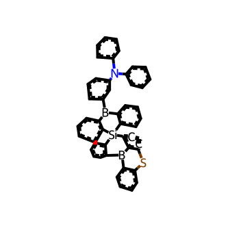 c1ccc(N(c2ccccc2)c2cccc(B3c4ccccc4[Si]4(c5ccccc53)c3ccccc3B3c5ccccc5Sc5cccc4c53)c2)cc1